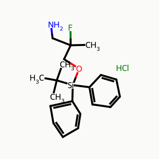 CC(F)(CN)CO[Si](c1ccccc1)(c1ccccc1)C(C)(C)C.Cl